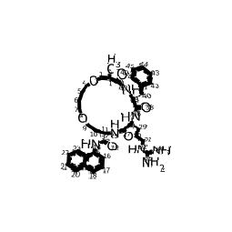 CC1COCCCCOCC[C@@H](C(=O)Nc2cccc3ccccc23)NC(=O)[C@H](CCCNC(=N)N)NC(=O)[C@@H](Cc2ccccc2)NC1=O